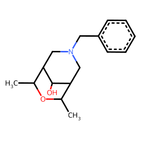 CC1OC(C)C2CN(Cc3ccccc3)CC1C2O